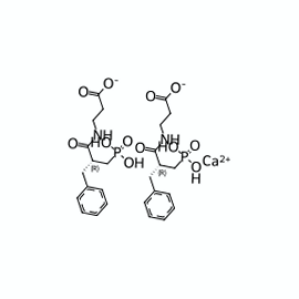 O=C([O-])CCNC(=O)[C@@H](Cc1ccccc1)CP(=O)(O)O.O=C([O-])CCNC(=O)[C@@H](Cc1ccccc1)CP(=O)(O)O.[Ca+2]